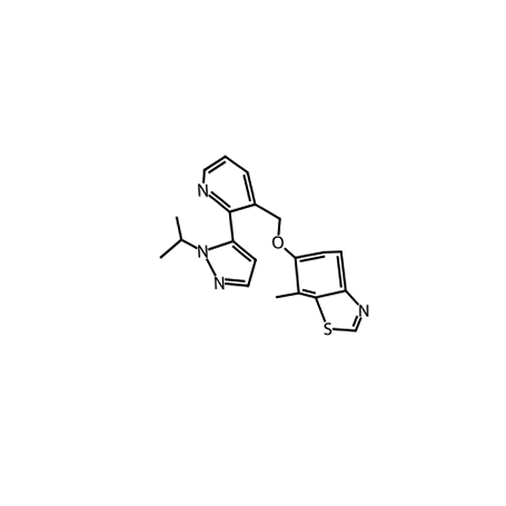 Cc1c(OCc2cccnc2-c2ccnn2C(C)C)ccc2ncsc12